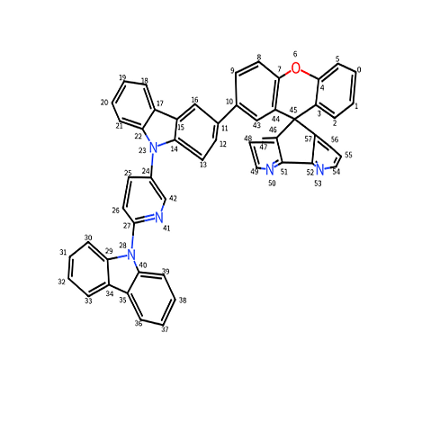 c1ccc2c(c1)Oc1ccc(-c3ccc4c(c3)c3ccccc3n4-c3ccc(-n4c5ccccc5c5ccccc54)nc3)cc1C21c2cccnc2-c2ncccc21